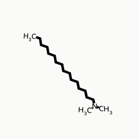 CCCCCCCCCCCCCCCCN(C)C